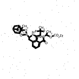 CCOC(=O)OC(C)OC(=O)c1cccc(CC(NC(=O)CC(C)(F)F)B2OC3CC4CC(C4(C)C)C3(C)O2)c1OC